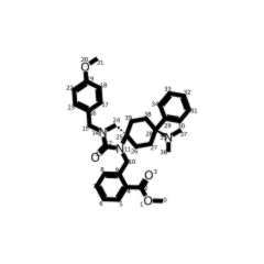 COC(=O)c1ccccc1CN1C(=O)N(Cc2ccc(OC)cc2)C[C@]12CC[C@](c1ccccc1)(N(C)C)CC2